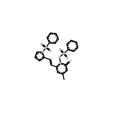 Cc1cc(C=Cc2cccn2S(=O)(=O)c2ccccc2)n(OS(=O)(=O)c2ccccc2)c(=O)c1